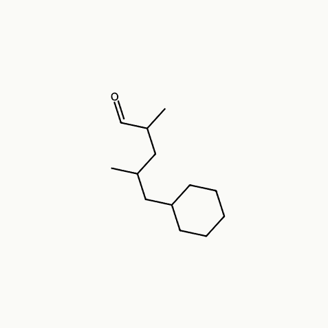 CC(C=O)CC(C)CC1CCCCC1